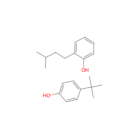 CC(C)(C)c1ccc(O)cc1.CC(C)CCc1ccccc1O